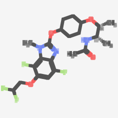 CC(=O)N[C@@H](C)[C@@H](C)OC1CCC(Oc2nc3c(F)cc(OCC(F)F)c(F)c3n2C)CC1